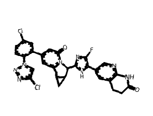 O=C1CCc2cc(-c3[nH]c(C4C5CC5c5cc(-c6cc(Cl)ccc6-n6cc(Cl)nn6)cc(=O)n54)nc3F)cnc2N1